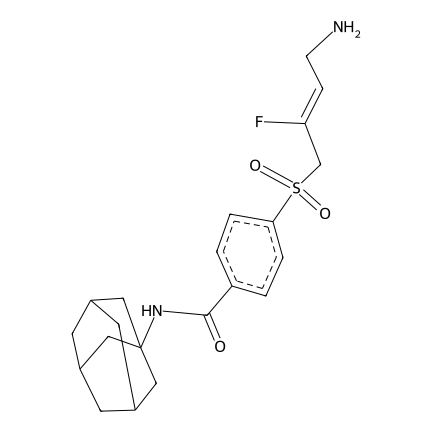 NC/C=C(\F)CS(=O)(=O)c1ccc(C(=O)NC23CC4CC(CC(C4)C2)C3)cc1